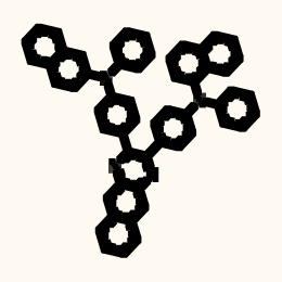 c1ccc(N(c2ccc(-c3nc4cc5ccccc5cc4nc3-c3ccc(N(c4ccccc4)c4cccc5ccccc45)cc3)cc2)c2ccc3ccccc3c2)cc1